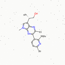 CCC[C@H](CO)c1cn(C)c2nc(-c3ccc(C(C)C)nc3NC)c(CC)nc12